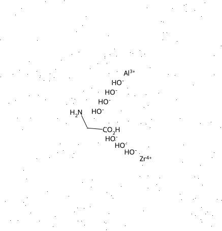 NCC(=O)O.[Al+3].[OH-].[OH-].[OH-].[OH-].[OH-].[OH-].[OH-].[Zr+4]